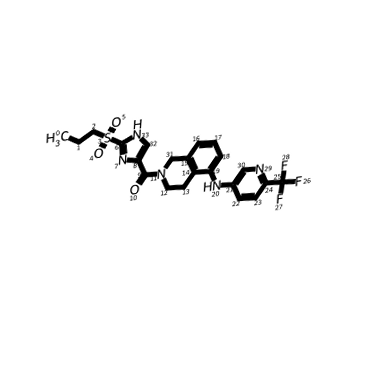 CCCS(=O)(=O)c1nc(C(=O)N2CCc3c(cccc3Nc3ccc(C(F)(F)F)nc3)C2)c[nH]1